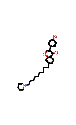 O=c1c(-c2ccc(Br)cc2)coc2cc(CCCCCCCCCN3C=CCC=C3)ccc12